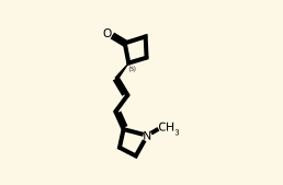 CN1CCC1=CC=C[C@@H]1CCC1=O